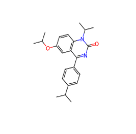 CC(C)Oc1ccc2c(c1)c(-c1ccc(C(C)C)cc1)nc(=O)n2C(C)C